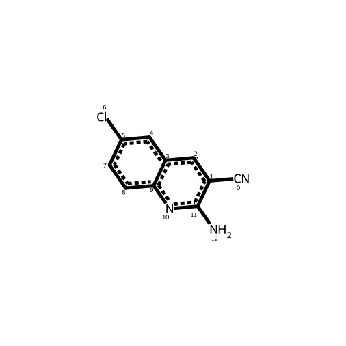 N#Cc1[c]c2cc(Cl)ccc2nc1N